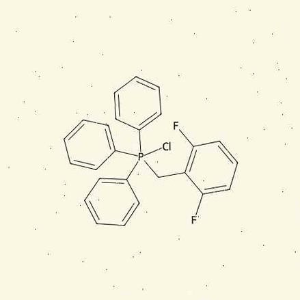 Fc1cccc(F)c1CP(Cl)(c1ccccc1)(c1ccccc1)c1ccccc1